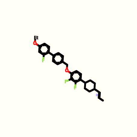 C/C=C/C1CCC(c2ccc(OCc3ccc(-c4ccc(OCC)cc4F)cc3)c(F)c2F)CC1